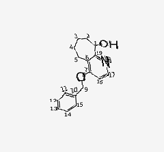 OC1CCCCc2c(OCc3ccccc3)ccnc21